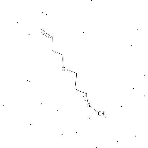 CSSCCOCCC=O